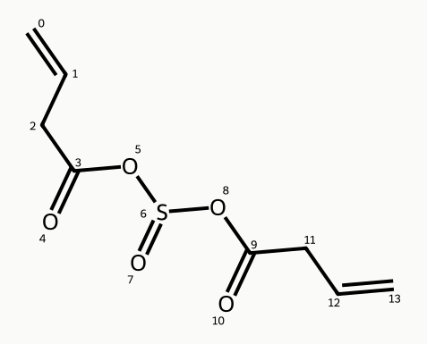 C=CCC(=O)OS(=O)OC(=O)CC=C